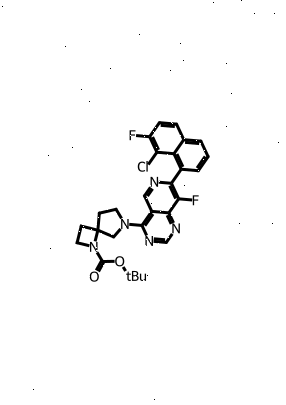 CC(C)(C)OC(=O)N1CCC12CCN(c1ncnc3c(F)c(-c4cccc5ccc(F)c(Cl)c45)ncc13)C2